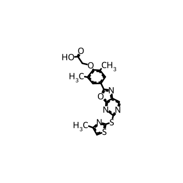 Cc1csc(Sc2ncc3nc(-c4cc(C)c(OCC(=O)O)c(C)c4)oc3n2)n1